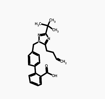 C=CCCc1nc(C(C)(C)C)nn1Cc1ccc(-c2ccccc2C(=O)O)cc1